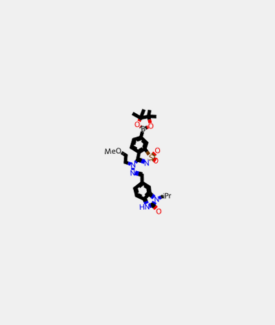 COCCN(/N=C/c1ccc2[nH]c(=O)n(C(C)C)c2c1)C1=NS(=O)(=O)c2cc(B3OC(C)(C)C(C)(C)O3)ccc21